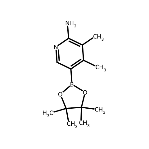 Cc1c(B2OC(C)(C)C(C)(C)O2)cnc(N)c1C